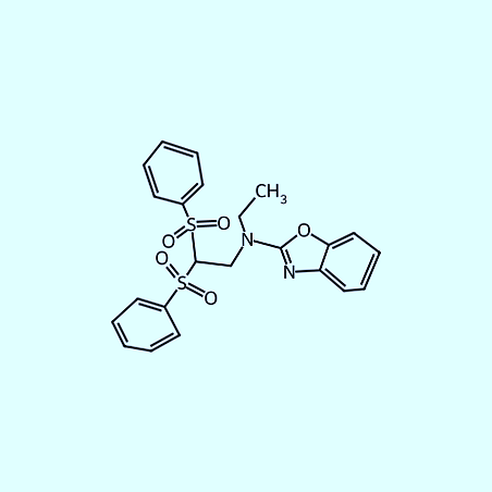 CCN(CC(S(=O)(=O)c1ccccc1)S(=O)(=O)c1ccccc1)c1nc2ccccc2o1